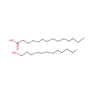 CCCCCCCCCCCCCC(=O)O.CCCCCCCCCCCCO